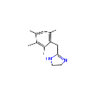 Cc1cc(C)c(CC2=NCCN2)c(C)c1C